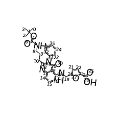 CC(C)(C)OC(=O)NCCCc1nc2cccc(NCc3ccc(C(=O)O)o3)c2c(=O)n1-c1ccccc1